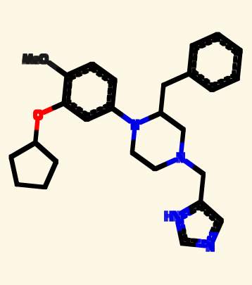 COc1ccc(N2CCN(Cc3cnc[nH]3)CC2Cc2ccccc2)cc1OC1CCCC1